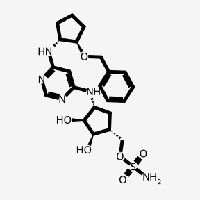 NS(=O)(=O)OC[C@H]1C[C@@H](Nc2cc(N[C@@H]3CCC[C@H]3OCc3ccccc3)ncn2)[C@H](O)[C@@H]1O